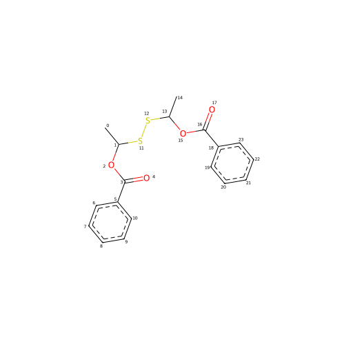 CC(OC(=O)c1ccccc1)SSC(C)OC(=O)c1ccccc1